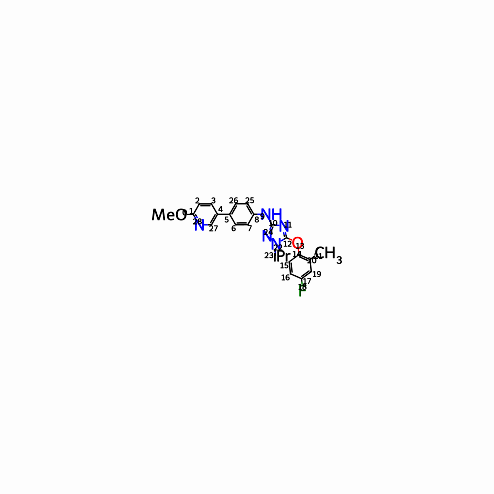 COc1ccc(-c2ccc(Nc3nc(Oc4ccc(F)cc4C)n(C(C)C)n3)cc2)cn1